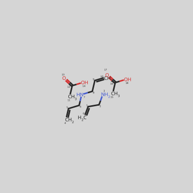 C=CCN.C=CCNCC=C.CC(=O)O.CC(=O)O